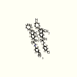 Cc1nc(N2CCCNCC2)nc2ccc(NC(=O)/C=C/c3ccc(OC(F)(F)F)cc3)cc12.Cc1nc(N2CCCNCC2)nc2ccc(NC(=O)CCc3ccc(Cl)cc3)cc12